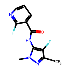 Cn1nc(C(F)(F)F)c(F)c1NC(=O)c1cccnc1F